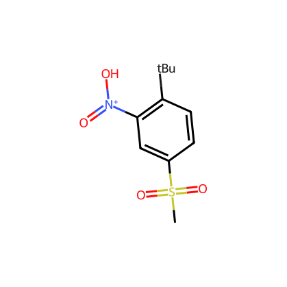 CC(C)(C)c1ccc(S(C)(=O)=O)cc1[N+](=O)O